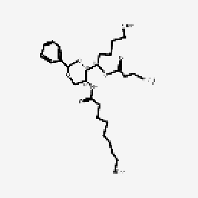 CCCCCCCCCCCCCCCCCC(=O)N[C@H]1COC(c2ccccc2)O[C@@H]1[C@@H](CCCCCCCCCCCCCC)OC(=O)CCC(=O)O